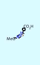 COCCN1CCN(C2=NC(c3ccc(C(=O)O)cc3)CS2)CC1